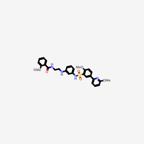 COc1cccc(-c2ccc(OC)c(S(=O)(=O)Nc3cccc(NCCNC(=O)c4ccccc4OC)c3)c2)n1